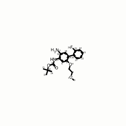 COCCOc1cc(NC(=O)OC(C)(C)C)c(N)cc1-c1ccccc1F